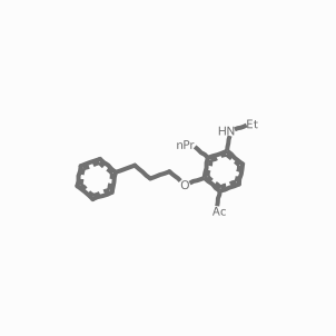 CCCc1c(NCC)ccc(C(C)=O)c1OCCCc1ccccc1